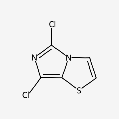 Clc1nc(Cl)n2ccsc12